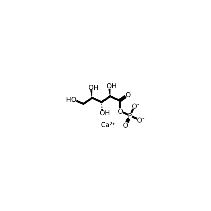 O=C(OP(=O)([O-])[O-])[C@H](O)[C@H](O)[C@H](O)CO.[Ca+2]